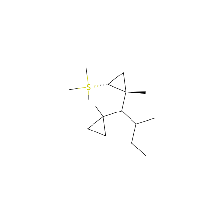 CCC(C)C(C1(C)CC1)[C@@]1(C)C[C@H]1S(C)(C)C